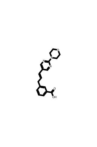 O=C(O)c1cccc(CC=Cc2cnc(N3CCOCC3)nc2)c1